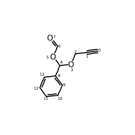 C#CCOC(OC=O)c1ccccc1